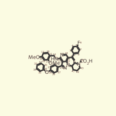 C=C(c1ccc(F)cc1)c1cnc(NCc2ccc(OC)cc2OC)c2c(-c3ccc(Oc4ccccc4)cc3)nn(C3CCCN(C(=O)O)C3)c12